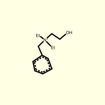 CC[N+](CC)(CCO)Cc1ccccc1